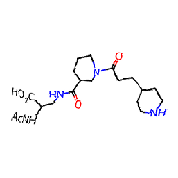 CC(=O)NC(CNC(=O)C1CCCN(C(=O)CCC2CCNCC2)C1)C(=O)O